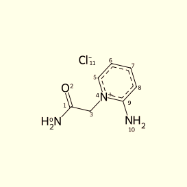 NC(=O)C[n+]1ccccc1N.[Cl-]